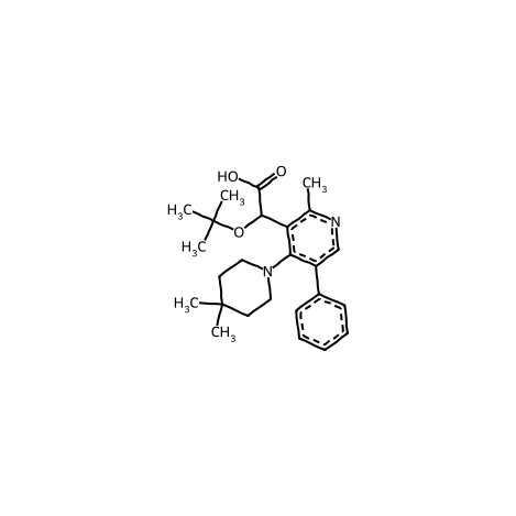 Cc1ncc(-c2ccccc2)c(N2CCC(C)(C)CC2)c1C(OC(C)(C)C)C(=O)O